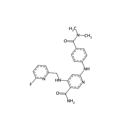 CN(C)C(=O)c1ccc(Nc2cc(NCc3cccc(F)n3)c(C(N)=O)cn2)cc1